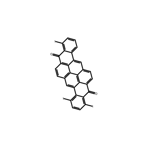 O=c1c2ccc3cc4c5c(I)ccc(I)c5c(=O)c5ccc6cc(c7cccc(I)c17)c2c3c6c54